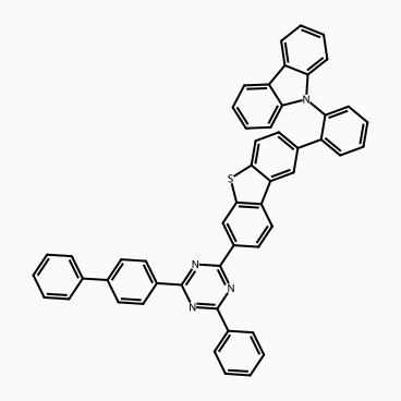 c1ccc(-c2ccc(-c3nc(-c4ccccc4)nc(-c4ccc5c(c4)sc4ccc(-c6ccccc6-n6c7ccccc7c7ccccc76)cc45)n3)cc2)cc1